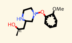 COc1ccccc1ON1CCNC(C[C@@H](C)O)C1